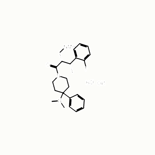 CNC[C@@H](C(=O)N1CCC(c2ccccc2)(N(C)C)CC1)[C@@H](C)c1ccccc1F.Cl.Cl